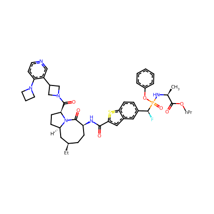 CCCOC(=O)[C@H](C)NP(=O)(Oc1ccccc1)[C@@H](F)c1ccc2sc(C(=O)N[C@H]3CC[C@@H](CC)C[C@H]4CC[C@@H](C(=O)N5CC(c6cnccc6N6CCC6)C5)N4C3=O)cc2c1